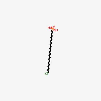 O=P(O)(O)CCCCCCCCCCCCCCCCCCCCCCCCCl